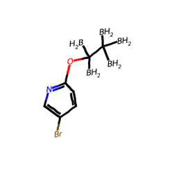 BC(B)(B)C(B)(B)Oc1ccc(Br)cn1